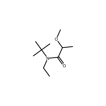 CCN(C(=O)C(C)OC)C(C)(C)C